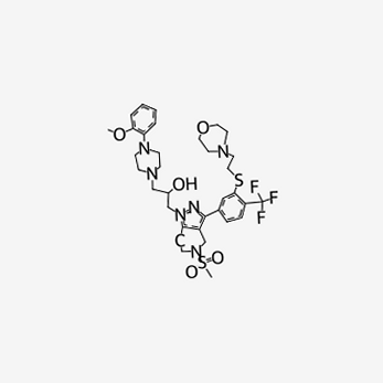 COc1ccccc1N1CCN(CC(O)Cn2nc(-c3ccc(C(F)(F)F)c(SCCN4CCOCC4)c3)c3c2CCN(S(C)(=O)=O)C3)CC1